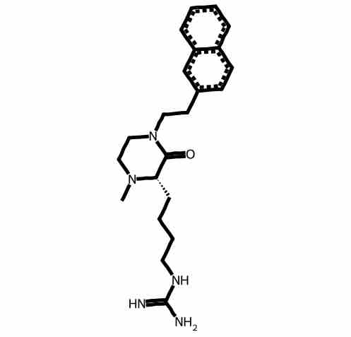 CN1CCN(CCc2ccc3ccccc3c2)C(=O)[C@@H]1CCCCNC(=N)N